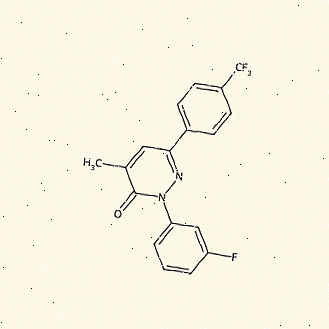 Cc1cc(-c2ccc(C(F)(F)F)cc2)nn(-c2cccc(F)c2)c1=O